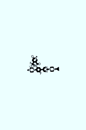 C[C@@H]1CN(c2cc(F)c(-c3cnc(N4CCN(C5CC5)CC4)nc3)cc2NC(=O)c2cn(C)c(=O)cc2C(F)(F)F)CCN1C